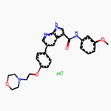 COc1cccc(NC(=O)c2c[nH]c3ncc(-c4ccc(OCCN5CCOCC5)cc4)cc23)c1.Cl